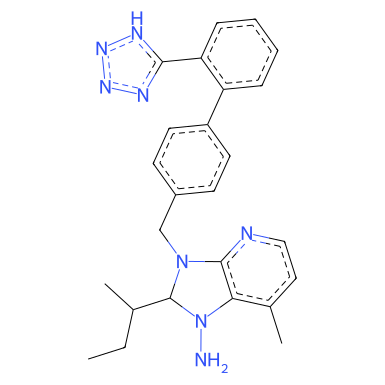 CCC(C)C1N(N)c2c(C)ccnc2N1Cc1ccc(-c2ccccc2-c2nnn[nH]2)cc1